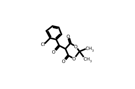 CC1(C)OC(=O)C(C(=O)c2ccccc2Cl)C(=O)O1